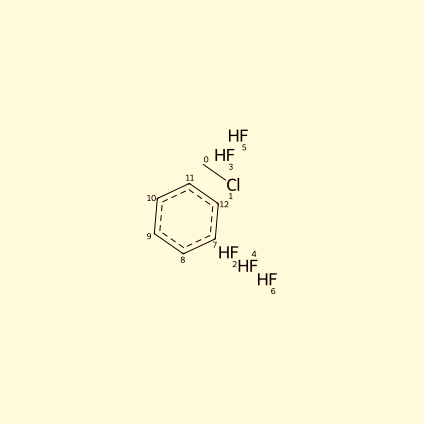 CCl.F.F.F.F.F.c1ccccc1